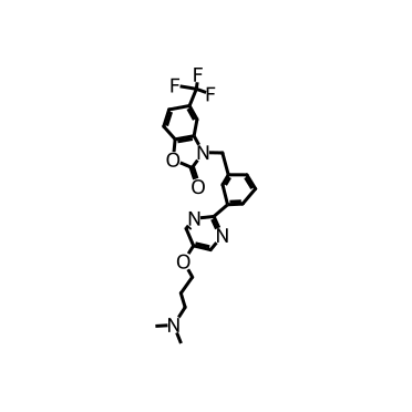 CN(C)CCCOc1cnc(-c2cccc(Cn3c(=O)oc4ccc(C(F)(F)F)cc43)c2)nc1